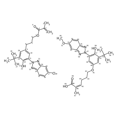 C=C(C)C(=O)OCCCc1cc(-n2nc3ccc(Cl)cc3n2)c(O)c(C(C)(C)C)c1.COc1ccc2nn(-c3cc(OCCCC=C(C)C(=O)O)cc(C(C)(C)C)c3O)nc2c1